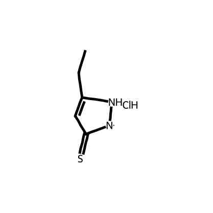 CCC1=CC(=S)[N]N1.Cl